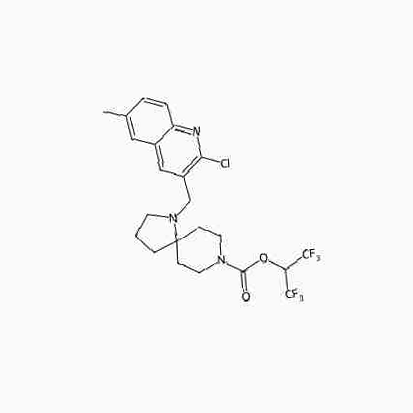 Cc1ccc2nc(Cl)c(CN3CCCC34CCN(C(=O)OC(C(F)(F)F)C(F)(F)F)CC4)cc2c1